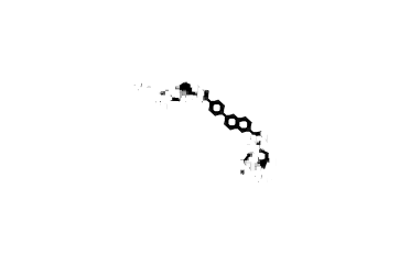 COC(=O)N[C@H](C(=O)N1[C@H](c2ncc(-c3ccc(-c4ccc5cc(-c6cnc([C@@H]7C[C@H]8C[C@H]8N7C(=O)[C@@H](NC(=O)OC)C(C)C)[nH]6)ccc5c4)cc3)[nH]2)C2[C@@H]3[C@H]1[C@]23C)C(C)C